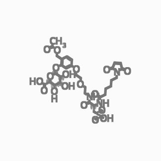 CC(=O)OCc1ccc(OCCOCCNC(=O)[C@H](CS(=O)(=O)O)NC(=O)CCCCCN2C(=O)C=CC2=O)cc1O[C@@H]1O[C@H](C(=O)O)[C@@H](O)[C@H](O)[C@H]1O